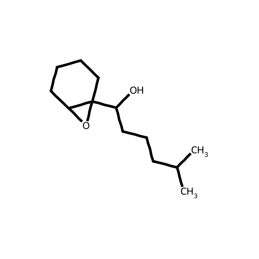 CC(C)CCCC(O)C12CCCCC1O2